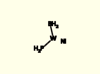 [BH2][W][PH2].[Ni]